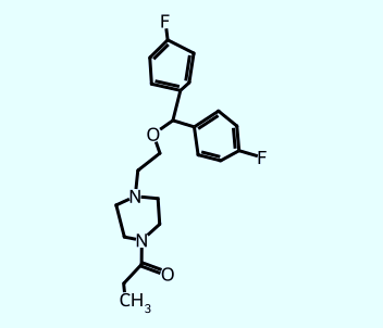 CCC(=O)N1CCN(CCOC(c2ccc(F)cc2)c2ccc(F)cc2)CC1